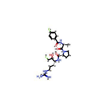 CC(C)[C@H](NC(=O)c1ccc(F)cc1)C(=O)N1CCC[C@H]1C(=O)N[C@H](CCCNC(=N)N)C(O)CF